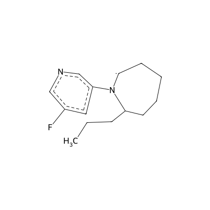 CCCC1CCCC[CH]N1c1cncc(F)c1